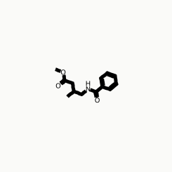 COC(=O)CC(C)CNC(=O)c1ccccc1